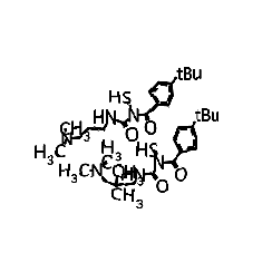 CN(C)CC(C)(C)CNC(=O)N(S)C(=O)c1ccc(C(C)(C)C)cc1.CN(C)CCCNC(=O)N(S)C(=O)c1ccc(C(C)(C)C)cc1